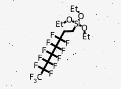 CCO[Si](CCC(F)(F)C(F)(F)C(F)(F)C(F)(F)C(F)(F)C(F)(F)F)(OCC)OCC